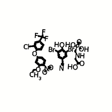 CCOc1cc(Oc2ccc(C(F)(F)F)cc2Cl)ccc1[N+](=O)[O-].N#Cc1cc(Br)c(O)c(Br)c1.O=C(O)CNCP(=O)(O)O